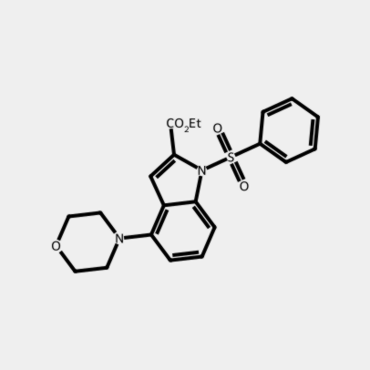 CCOC(=O)c1cc2c(N3CCOCC3)cccc2n1S(=O)(=O)c1ccccc1